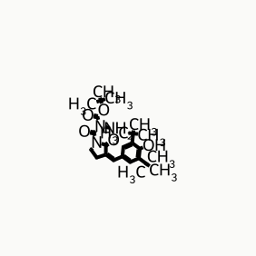 CC(C)(C)OC(=O)N(N)C(=O)N1CCC(=Cc2cc(C(C)(C)C)c(O)c(C(C)(C)C)c2)C1=O